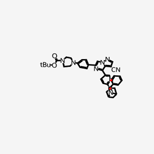 CC(C)(C)OC(=O)N1CCN(c2ccc(-c3cn4ncc(C#N)c4c(-c4ccc(N5CC6CC(C5)N6Cc5ccccc5)nc4)n3)cc2)CC1